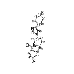 O=C(c1ccc(F)cc1F)N1CCCC(n2nnc(-c3ccc(F)cc3)n2)C1